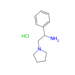 Cl.NC(CN1CCCC1)c1ccccc1